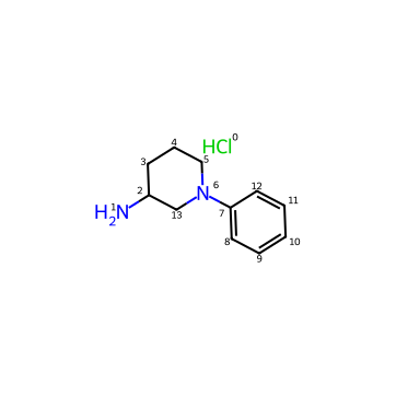 Cl.NC1CCCN(c2ccccc2)C1